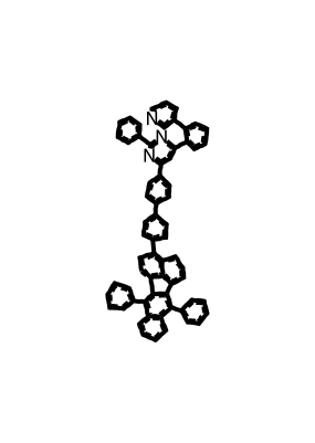 c1ccc(-c2nc(-c3ccc(-c4ccc(-c5ccc6c7c(cccc57)-c5c-6c(-c6ccccc6)c6ccccc6c5-c5ccccc5)cc4)cc3)cc(-c3ccccc3-c3cccnc3)n2)cc1